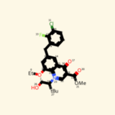 CCOc1cc(Cc2cccc(Cl)c2F)cc2c(=O)c(C(=O)OC)cn(C(CO)C(C)(C)C)c12